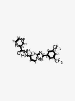 O=C(/C=C\n1cnc(-c2cc(C(F)(F)F)cc(C(F)(F)F)c2)n1)NNC(=O)c1cnccn1